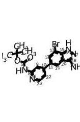 CC(C)(C)OC(=O)Nc1cc(-c2cc(Br)c3[nH]nc(N)c3c2)ccn1